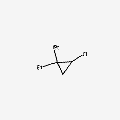 CCC1(C(C)C)CC1Cl